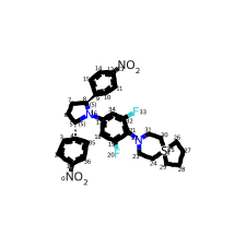 O=[N+]([O-])c1ccc([C@@H]2CC[C@@H](c3ccc([N+](=O)[O-])cc3)N2c2cc(F)c(N3CC[Si]4(CCCC4)CC3)c(F)c2)cc1